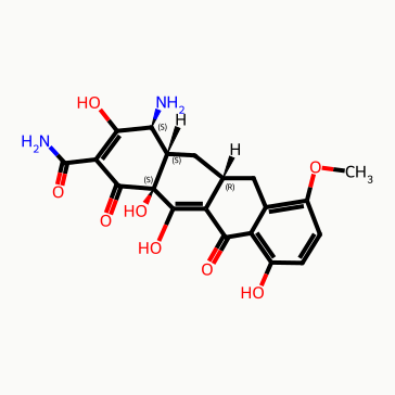 COc1ccc(O)c2c1C[C@H]1C[C@H]3[C@H](N)C(O)=C(C(N)=O)C(=O)[C@@]3(O)C(O)=C1C2=O